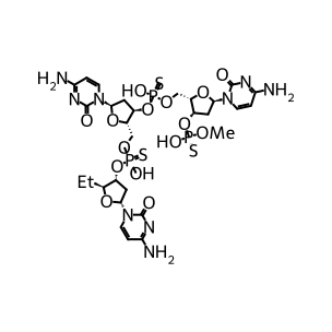 CC[C@@H]1O[C@@H](n2ccc(N)nc2=O)C[C@H]1OP(O)(=S)OC[C@@H]1O[C@@H](n2ccc(N)nc2=O)C[C@H]1OP(O)(=S)OC[C@@H]1O[C@@H](n2ccc(N)nc2=O)C[C@H]1OP(O)(=S)OC